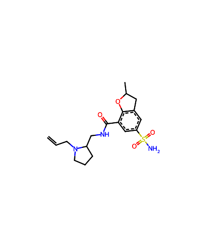 C=CCN1CCCC1CNC(=O)c1cc(S(N)(=O)=O)cc2c1OC(C)C2